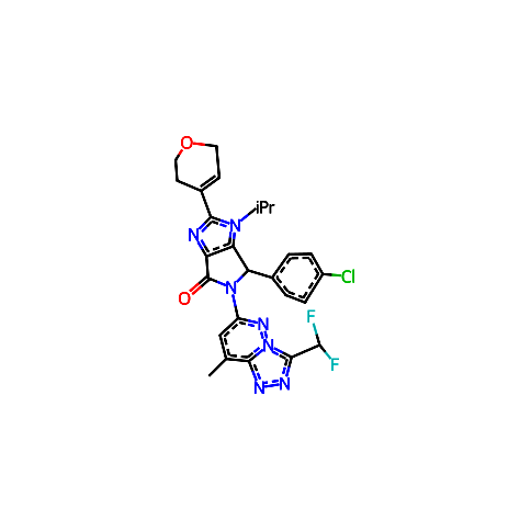 Cc1cc(N2C(=O)c3nc(C4=CCOCC4)n(C(C)C)c3C2c2ccc(Cl)cc2)nn2c(C(F)F)nnc12